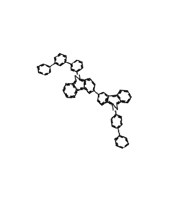 c1ccc(-c2ccc(-n3c4ccccc4c4cc(-c5ccc6c(c5)c5ccccc5n6-c5cccc(-c6cccc(-c7ccccc7)c6)c5)ccc43)cc2)cc1